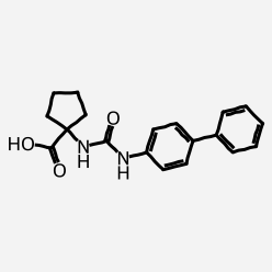 O=C(Nc1ccc(-c2ccccc2)cc1)NC1(C(=O)O)CCCC1